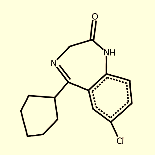 O=C1CN=C(C2CCCCC2)c2cc(Cl)ccc2N1